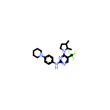 CC1CCN(c2nc(Nc3ccc(N4CCCCC4)cc3)ncc2C(F)(F)F)C1C